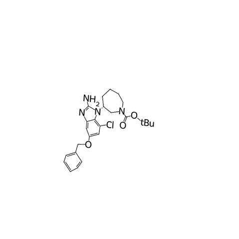 CC(C)(C)OC(=O)N1CCCC[C@@H](n2c(N)nc3cc(OCc4ccccc4)cc(Cl)c32)C1